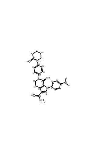 CC(C)c1ccc(-n2nc(C(N)=O)c3c2C(=O)N(c2ccc(N4CCCCC4=O)cc2)CC3)cc1